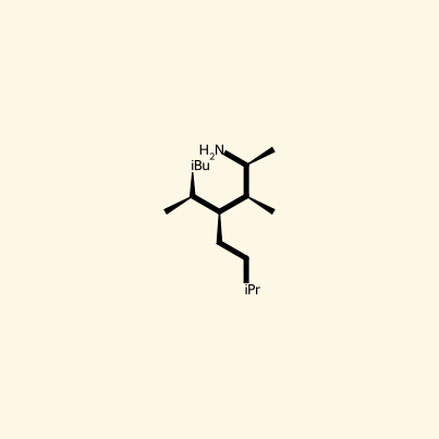 CC[C@H](C)[C@H](C)[C@H](CCC(C)C)[C@H](C)[C@H](C)N